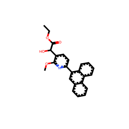 CCOC(=O)C(O)c1ccc(-c2cc3ccccc3c3ccccc23)nc1OC